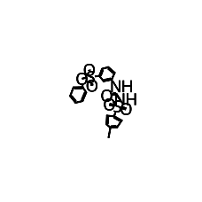 Cc1ccc(S(=O)(=O)NC(=O)Nc2cccc(S(=O)(=O)Oc3ccccc3)c2)cc1